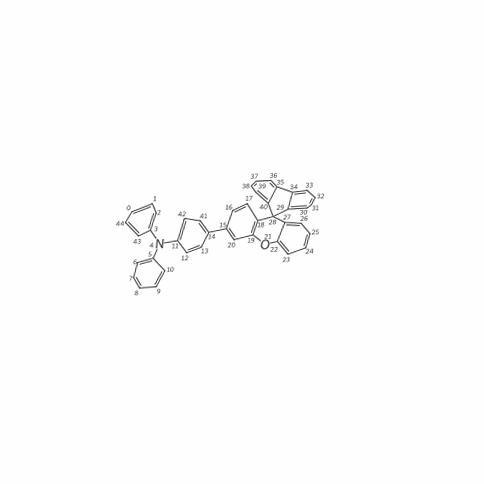 c1ccc(N(c2ccccc2)c2ccc(-c3ccc4c(c3)Oc3ccccc3C43c4ccccc4-c4ccccc43)cc2)cc1